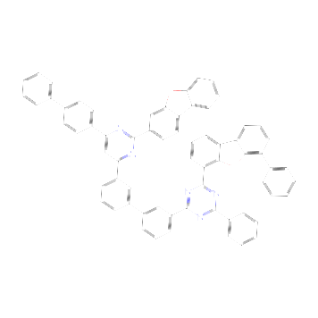 c1ccc(-c2ccc(-c3cc(-c4cccc(-c5cccc(-c6nc(-c7ccccc7)nc(-c7cccc8c7oc7c(-c9ccccc9)cccc78)n6)c5)c4)nc(-c4ccc5c(c4)oc4ccccc45)n3)cc2)cc1